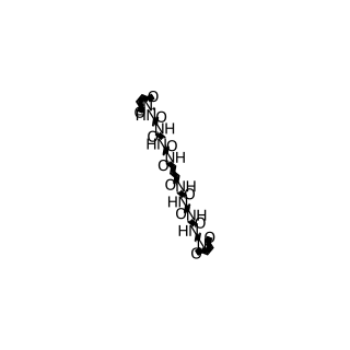 O=C(CCCC(=O)NCC(=O)NCC(=O)NCC(=O)NCN1C(=O)C=CC1=O)NCC(=O)NCC(=O)NCC(=O)NCCN1C(=O)C=CC1=O